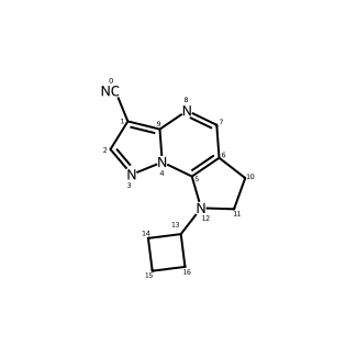 N#Cc1cnn2c3c(cnc12)CCN3C1CCC1